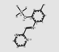 Cc1ccc(/N=C/c2ncccn2)c(O[Si](C)(C)C)c1